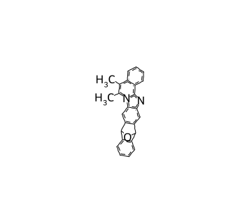 Cc1c(C)n2c3cc4c(cc3nc2c2ccccc12)C1OC4c2ccccc21